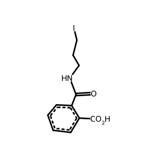 O=C(O)c1ccccc1C(=O)NCCCI